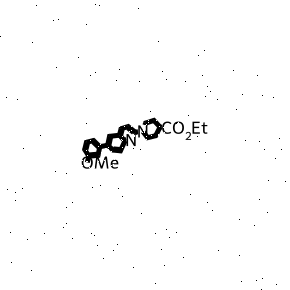 CCOC(=O)C1CCN(c2ccc3cc(-c4cccc(OC)c4)ccc3n2)CC1